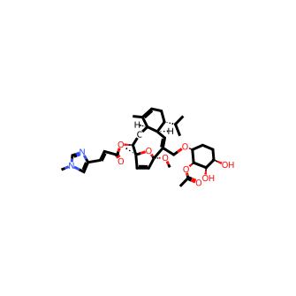 CO[C@]12C=C[C@](C)(O1)[C@@H](OC(=O)/C=C/c1cn(C)cn1)C[C@H]1C(C)=CC[C@H](C(C)C)[C@H]1/C=C\2CO[C@@H]1CC[C@@H](O)[C@@H](O)[C@H]1OC(C)=O